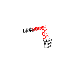 [Ba+2].[Ba+2].[Cu+2].[Cu+2].[La+3].[La+3].[O-2].[O-2].[O-2].[O-2].[O-2].[O-2].[O-2]